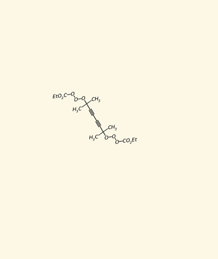 CCOC(=O)OOOC(C)(C)C#CC#CC(C)(C)OOOC(=O)OCC